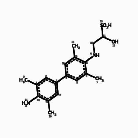 Cc1cc(-c2cc(C)c(NCC(O)S(=O)(=O)O)c(C)c2)cc(C)c1N